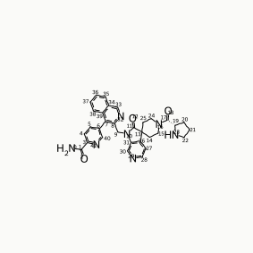 NC(=O)c1ccc(-c2c(CN3C(=O)C4(CCN(C(=O)[C@@H]5CCCN5)CC4)c4ccncc43)ncc3ccccc23)cn1